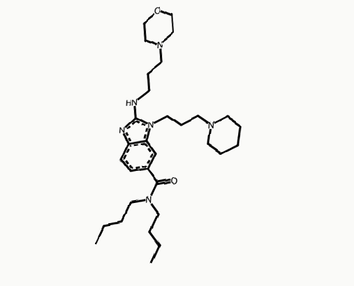 CCCCN(CCCC)C(=O)c1ccc2nc(NCCCN3CCOCC3)n(CCCN3CCCCC3)c2c1